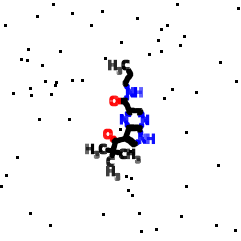 CCCNC(=O)c1cnc2[nH]cc(C(=O)C(C)(C)C)c2n1